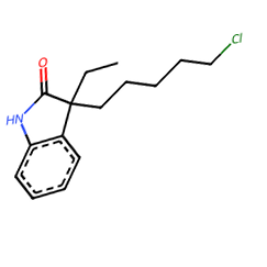 CCC1(CCCCCCl)C(=O)Nc2ccccc21